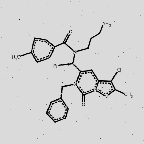 Cc1ccc(C(=O)N(CCCN)C(c2cc3c(Cl)c(C)nn3c(=O)n2Cc2ccccc2)C(C)C)cc1